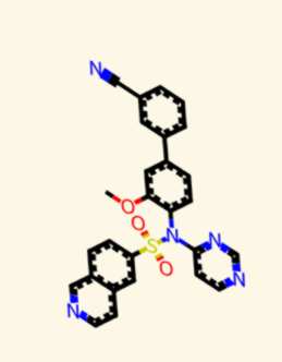 COc1cc(-c2cccc(C#N)c2)ccc1N(c1ccncn1)S(=O)(=O)c1ccc2cnccc2c1